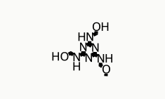 COCNc1nc(NCO)nc(NCO)n1